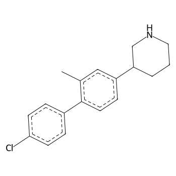 Cc1cc(C2CCCNC2)ccc1-c1ccc(Cl)cc1